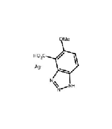 COc1ccc2[nH]nnc2c1C(=O)O.[Ag]